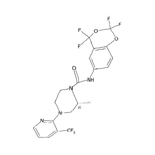 C[C@@H]1CN(c2ncccc2C(F)(F)F)CCN1C(=O)Nc1ccc2c(c1)C(F)(F)OC(F)(F)O2